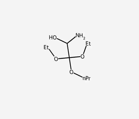 CCCOC(OCC)(OCC)C(N)O